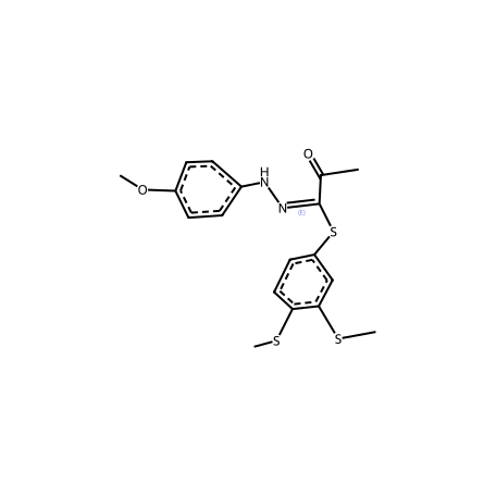 COc1ccc(N/N=C(/Sc2ccc(SC)c(SC)c2)C(C)=O)cc1